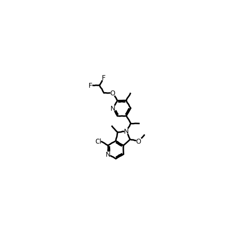 COC1c2ccnc(Cl)c2C(C)N1C(C)c1cnc(OCC(F)F)c(C)c1